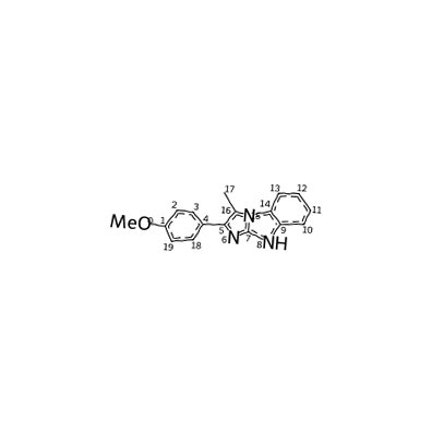 COc1ccc(-c2nc3[nH]c4ccccc4n3c2C)cc1